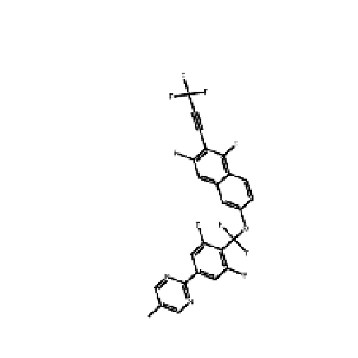 Cc1cnc(-c2cc(F)c(C(F)(F)Oc3ccc4c(F)c(C#CC(F)(F)F)c(F)cc4c3)c(F)c2)nc1